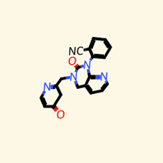 N#Cc1ccccc1N1C(=O)N(CC2=NC=CC(=O)C2)Cc2cccnc21